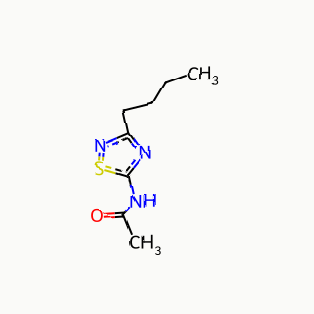 CCCCc1nsc(NC(C)=O)n1